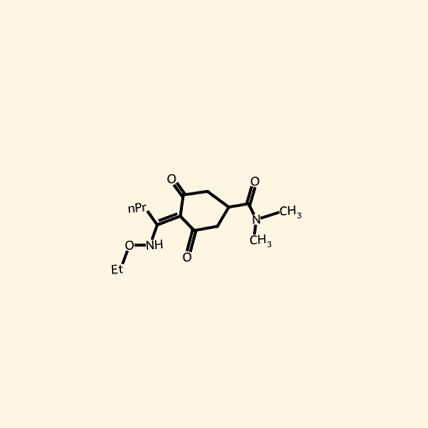 CCCC(NOCC)=C1C(=O)CC(C(=O)N(C)C)CC1=O